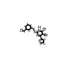 O=Cc1cccc(CSc2nc(-c3cccs3)c(Br)c(=O)[nH]2)c1